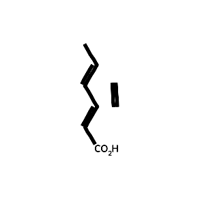 C=C.CC=CC=CC(=O)O